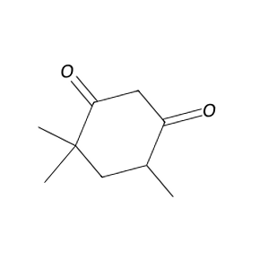 CC1CC(C)(C)C(=O)CC1=O